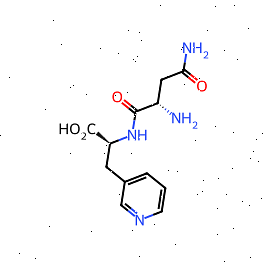 NC(=O)C[C@H](N)C(=O)N[C@@H](Cc1cccnc1)C(=O)O